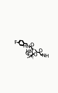 C[C@@H](C(=O)N[C@@H](CCC(=O)C=N)C(=O)NCc1ccc(F)cc1)[S+](C)[O-]